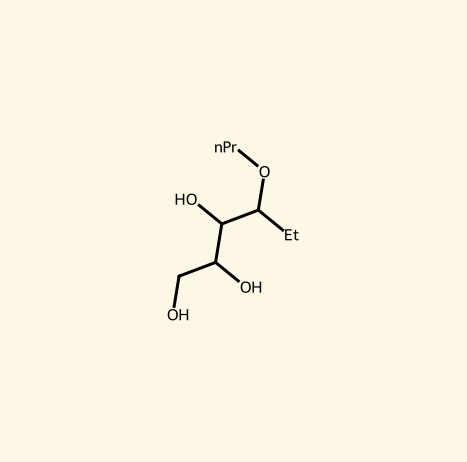 CCCOC(CC)C(O)C(O)CO